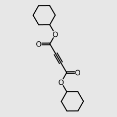 O=C(C#CC(=O)OC1CCCCC1)OC1CCCCC1